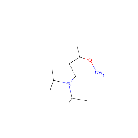 CC(CCN(C(C)C)C(C)C)ON